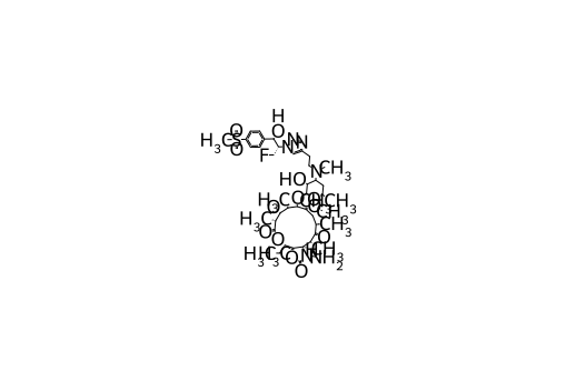 CC[C@H]1OC(=O)[C@H](C)C(=O)[C@H](C)[C@@H](O[C@@H]2O[C@H](C)C[C@H](N(C)CCc3cn([C@H](CF)[C@H](O)c4ccc(S(C)(=O)=O)cc4)nn3)[C@H]2O)[C@](C)(OC)C[C@@H](C)C(=O)[C@H](C)[C@H]2N(N)C(=O)O[C@]12C